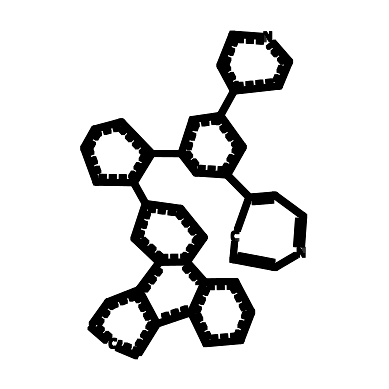 C1=CN=CC=C(c2cc(-c3ccncc3)cc(-c3ccccc3-c3ccc4c5ccccc5c5ccccc5c4c3)c2)C1